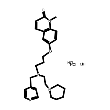 Cl.Cl.Cl.Cn1c(=O)ccc2cc(OCCCN(CCN3CCCCC3)Cc3ccncc3)ccc21